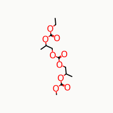 CCOC(=O)OC(C)COC(=O)OCC(C)OC(=O)OC